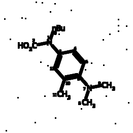 CCCCN(C(=O)O)c1ccc(N(C)C)c(C)c1